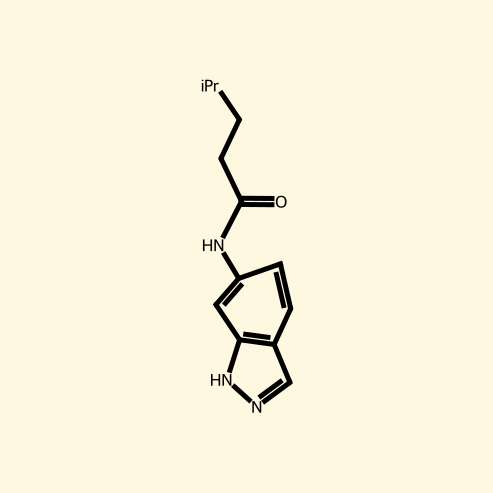 CC(C)CCC(=O)Nc1ccc2cn[nH]c2c1